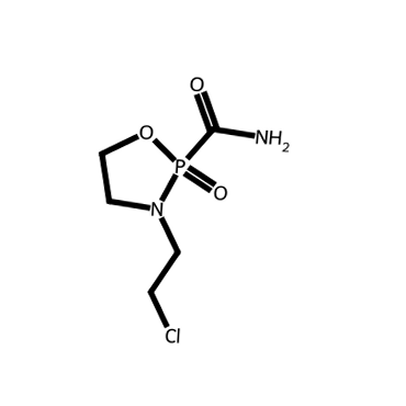 NC(=O)P1(=O)OCCN1CCCl